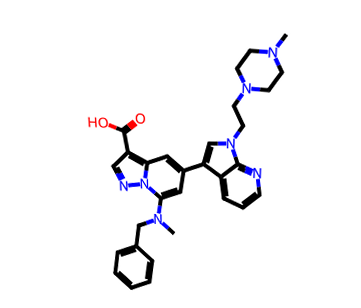 CN1CCN(CCn2cc(-c3cc(N(C)Cc4ccccc4)n4ncc(C(=O)O)c4c3)c3cccnc32)CC1